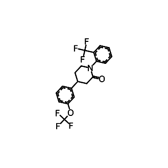 O=C1CC(c2cccc(OC(F)(F)F)c2)CCN1c1ccccc1C(F)(F)F